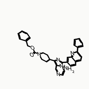 N[N+]12C=CN=CC1=C(C1CCN(C(=O)OCc3ccccc3)CC1)N=C2c1ccc2ccc(-c3ccccc3)nc2c1